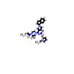 C=CC(=O)N1CCN(c2nc(OC[C@@H]3CCCN3C)nc3c2CN(C2CCc4ccccc42)C3)C[C@@H]1C#N